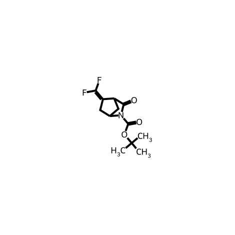 CC(C)(C)OC(=O)N1C(=O)C2CC1CC2=C(F)F